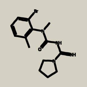 Cc1cccc(Br)c1N(C)C(=O)NC(=N)N1CCCC1